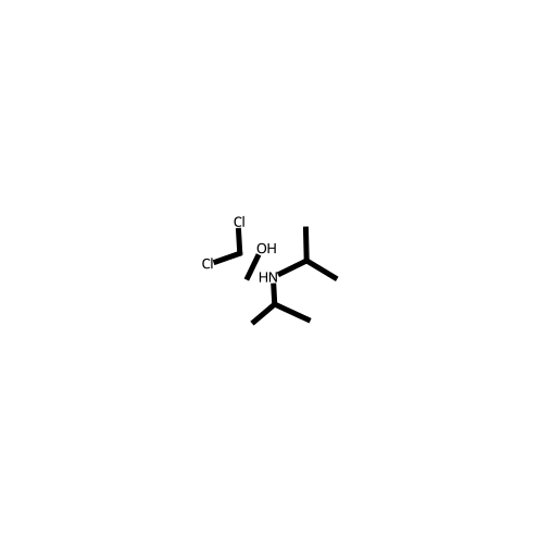 CC(C)NC(C)C.CO.ClCCl